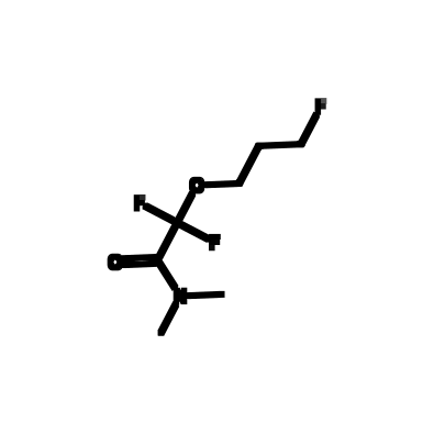 CN(C)C(=O)C(F)(F)OCCCF